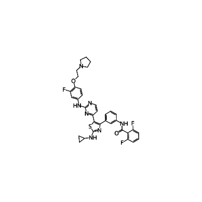 O=C(Nc1cccc(-c2nc(NC3CC3)sc2-c2ccnc(Nc3ccc(OCCN4CCCC4)c(F)c3)n2)c1)c1c(F)cccc1F